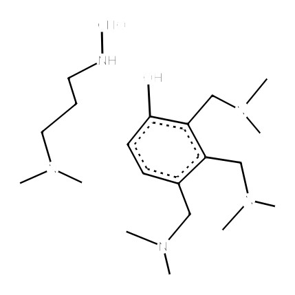 CN(C)CCCNC=O.CN(C)Cc1ccc(O)c(CN(C)C)c1CN(C)C